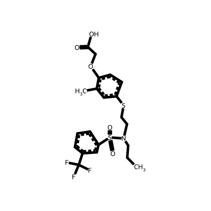 CCCN(CCSc1ccc(OCC(=O)O)c(C)c1)S(=O)(=O)c1cccc(C(F)(F)F)c1